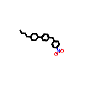 CCCCC1CCC(c2ccc(Cc3ccc([N+](=O)[O-])cc3)cc2)CC1